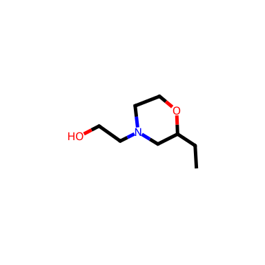 CCC1CN(CCO)CCO1